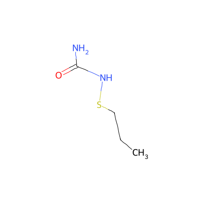 CCCSNC(N)=O